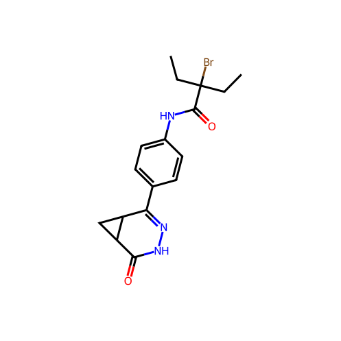 CCC(Br)(CC)C(=O)Nc1ccc(C2=NNC(=O)C3CC23)cc1